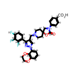 O=C(O)c1ccc(N2CC3(CCN(Cc4cn(-c5cccc6c5OCCO6)nc4-c4ccc(F)c(F)c4F)CC3)OC2=O)cc1